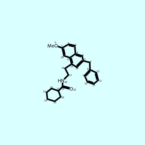 COc1ccc2cc(Cc3ccccc3)cc(CCNC(=O)C3CCCCC3)c2c1